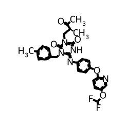 CC(=O)[C@@H](C)Cn1c(=O)[nH]/c(=N\c2ccc(Oc3ccc(OC(F)F)cn3)cc2)n(Cc2ccc(C)cc2)c1=O